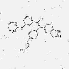 CC/C(=C(\C1=CC2=C(CC1)NNC2)C1C=CC(/C=C/C(=O)O)=CC1)c1cccc(OC2=NC=CCN2)c1